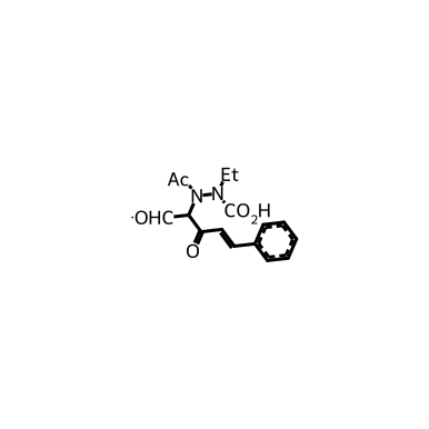 CCN(C(=O)O)N(C(C)=O)C([C]=O)C(=O)C=Cc1ccccc1